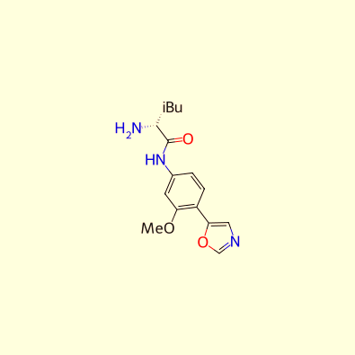 CC[C@@H](C)[C@@H](N)C(=O)Nc1ccc(-c2cnco2)c(OC)c1